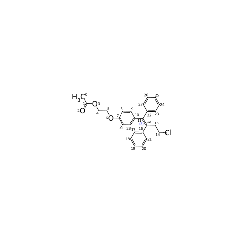 CC(=O)OCCOc1ccc(/C(=C(/CCCl)c2ccccc2)c2ccccc2)cc1